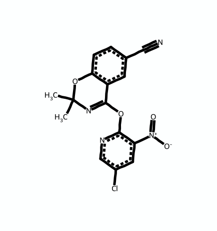 CC1(C)N=C(Oc2ncc(Cl)cc2[N+](=O)[O-])c2cc(C#N)ccc2O1